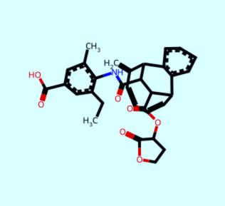 C=C1/C=C\C=C/C2c3ccccc3C1C(C(=O)Nc1c(C)cc(C(=O)O)cc1CC)C2C(=O)OC1CCOC1=O